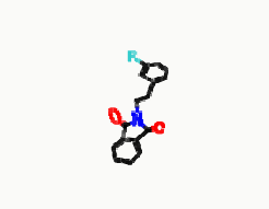 O=C1c2ccccc2C(=O)N1CCc1cccc(F)c1